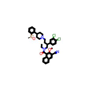 CCN(CC(CCN1CCC(c2ccccc2[S@+](C)[O-])CC1)c1ccc(Cl)c(Cl)c1)C(=O)c1c(OC)c(C#N)cc2ccccc12